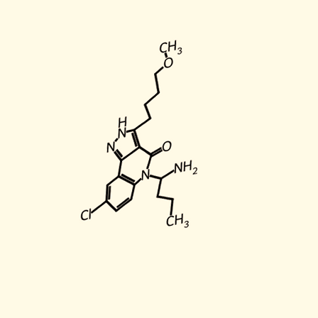 CCCC(N)n1c(=O)c2c(CCCCOC)[nH]nc2c2cc(Cl)ccc21